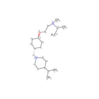 CC(C)C1CCN(C[C@H]2CC[C@H](OCCN(C)C(C)C)CC2)CC1